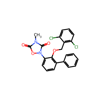 Cn1c(=O)on(-c2cccc(-c3ccccc3)c2OCc2c(Cl)cccc2Cl)c1=O